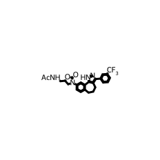 CC(=O)NCC1CN(c2ccc3c(c2)-c2[nH]nc(-c4cccc(C(F)(F)F)c4)c2CCC3)C(=O)O1